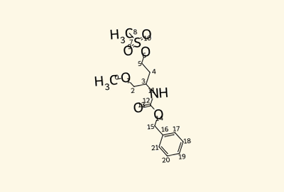 COCC(CCOS(C)(=O)=O)NC(=O)OCc1ccccc1